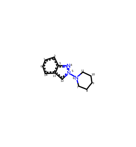 c1ccc2nn(N3CCCCC3)cc2c1